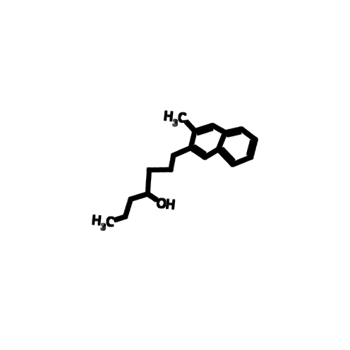 CCCC(O)CCCc1cc2ccccc2cc1C